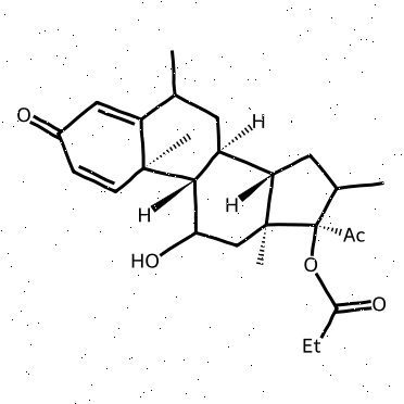 CCC(=O)O[C@]1(C(C)=O)C(C)C[C@H]2[C@@H]3CC(C)C4=CC(=O)C=C[C@]4(C)[C@H]3C(O)C[C@@]21C